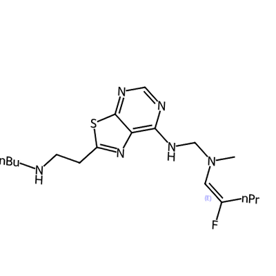 CCCCNCCc1nc2c(NCN(C)/C=C(/F)CCC)ncnc2s1